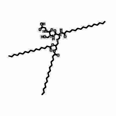 CCCCCCCCCCCCCCCC(=O)N[C@@H](CSCC(COC(=O)CCCCCCCCCCCCCCC)OC(=O)CCCCCCCCCCCCCCC)C(=O)N[C@@H](CO)C(=O)NCC(=O)O